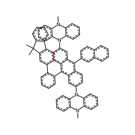 CN1c2ccccc2N(c2ccc3c(-c4ccccc4-c4ccc5c(c4)C(C)(C)c4ccccc4-5)c4cc(N5c6ccccc6N(C)c6ccccc65)ccc4c(-c4ccc5ccccc5c4)c3c2)c2ccccc21